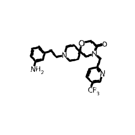 Nc1cccc(CCN2CCC3(CC2)CN(Cc2ccc(C(F)(F)F)cn2)C(=O)CO3)c1